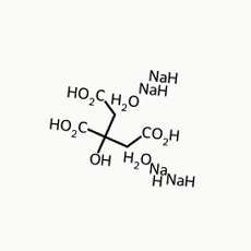 O.O.O=C(O)CC(O)(CC(=O)O)C(=O)O.[NaH].[NaH].[NaH].[NaH]